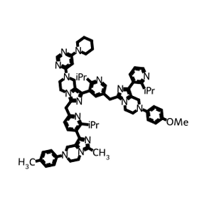 COc1ccc(N2CCn3c(Cc4cnc(C(C)C)c(-c5nc(Cc6ccc(-c7nc(C)n8c7CN(c7ccc(C)cc7)CC8)c(C(C)C)n6)n6c5CN(c5cc(N7CCCCC7)ncn5)CC6)c4)nc(-c4cccnc4C(C)C)c3C2)cc1